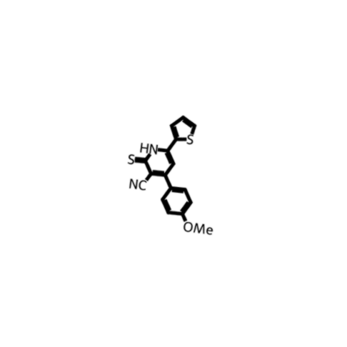 COc1ccc(-c2cc(-c3cccs3)[nH]c(=S)c2C#N)cc1